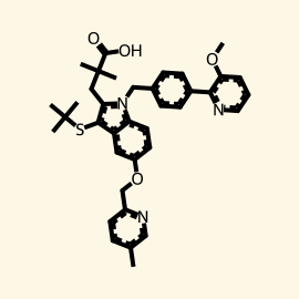 COc1cccnc1-c1ccc(Cn2c(CC(C)(C)C(=O)O)c(SC(C)(C)C)c3cc(OCc4ccc(C)cn4)ccc32)cc1